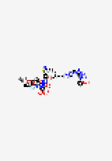 Cc1ncsc1-c1ccc(CNC(=O)[C@@H]2C[C@@H](O)CN2C(=O)[C@@H](NC(=O)C2(F)CC2)C(C)(C)C)c(OCCCCCCCN2CCN(c3cc(-c4ccccc4O)nnc3N)CC2)c1